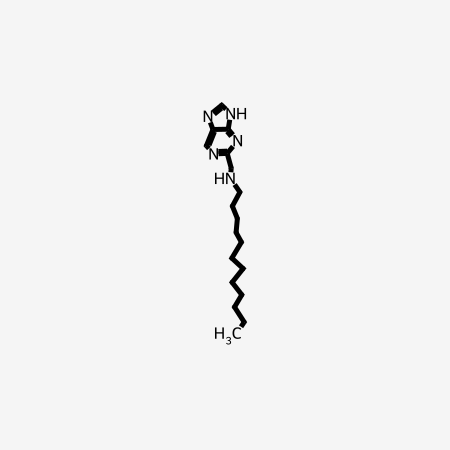 CCCCCCCCCCCCNCc1ncc2nc[nH]c2n1